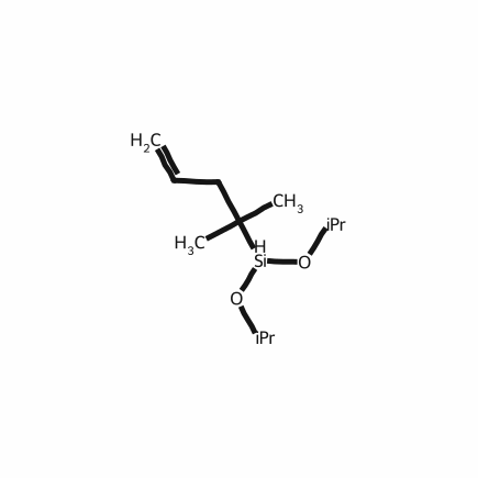 C=CCC(C)(C)[SiH](OC(C)C)OC(C)C